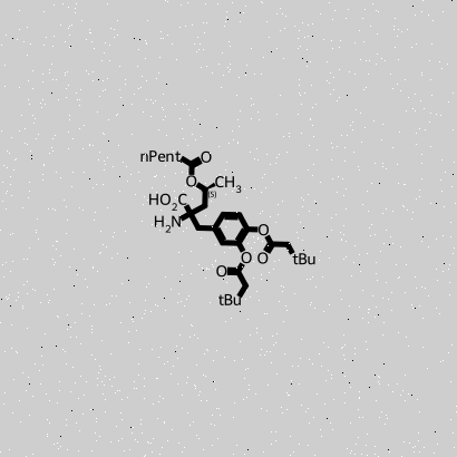 CCCCCC(=O)O[C@@H](C)CC(N)(Cc1ccc(OC(=O)CC(C)(C)C)c(OC(=O)CC(C)(C)C)c1)C(=O)O